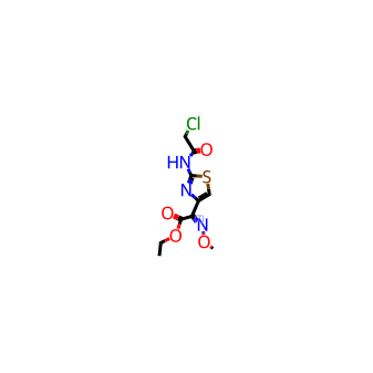 CCOC(=O)/C(=N\OC)c1csc(NC(=O)CCl)n1